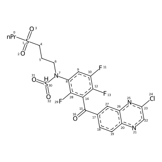 CCCS(=O)(=O)CCCN(c1cc(F)c(F)c(C(=O)c2ccc3ncc(Cl)nc3c2)c1F)[SH](=O)=O